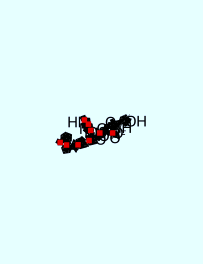 Cc1cc2cc(Oc3cc(N4CCC5(CC4)CN(C4CCC[C@H]4c4ccccc4C(C)C)C5)ccc3C(=O)NS(=O)(=O)c3cc4c(c([N+](=O)[O-])c3)N[C@@H]([C@H]3CC[C@](C)(O)CC3)CO4)cnc2[nH]1